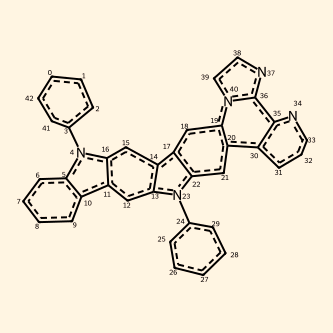 c1ccc(-n2c3ccccc3c3cc4c(cc32)c2cc3c(cc2n4-c2ccccc2)c2cccnc2c2nccn32)cc1